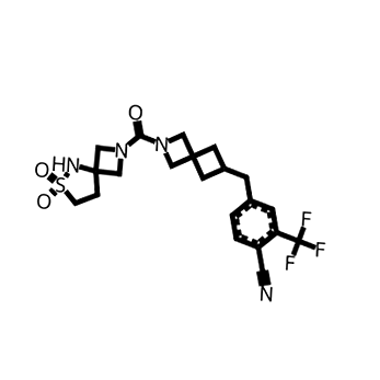 N#Cc1ccc(CC2CC3(C2)CN(C(=O)N2CC4(CCS(=O)(=O)N4)C2)C3)cc1C(F)(F)F